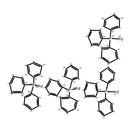 [Pd][P+](c1ccccc1)(c1ccccc1)c1ccccc1.[Pd][P+](c1ccccc1)(c1ccccc1)c1ccccc1.[Pd][P+](c1ccccc1)(c1ccccc1)c1ccccc1.[Pd][P+](c1ccccc1)(c1ccccc1)c1ccccc1